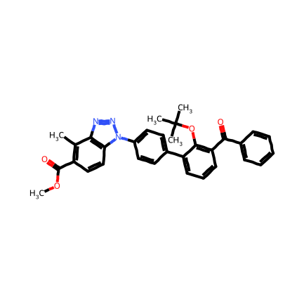 COC(=O)c1ccc2c(nnn2-c2ccc(-c3cccc(C(=O)c4ccccc4)c3OC(C)(C)C)cc2)c1C